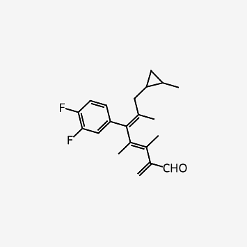 C=C(C=O)/C(C)=C(C)/C(=C(\C)CC1CC1C)c1ccc(F)c(F)c1